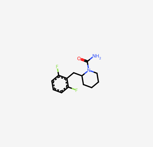 NC(=O)N1CCCCC1Cc1c(F)cccc1F